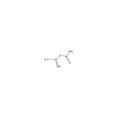 CC(=N)OC(N)=O